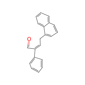 O=CC(=CCc1cccc2ccccc12)c1ccccc1